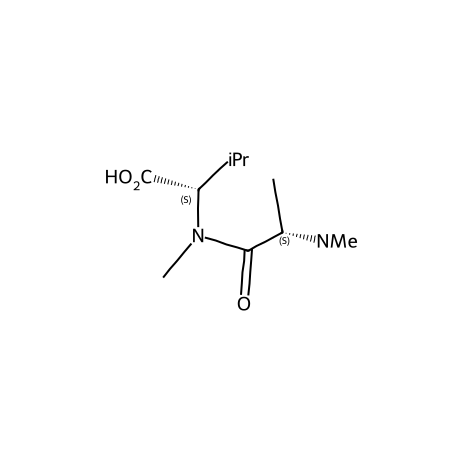 CN[C@@H](C)C(=O)N(C)[C@H](C(=O)O)C(C)C